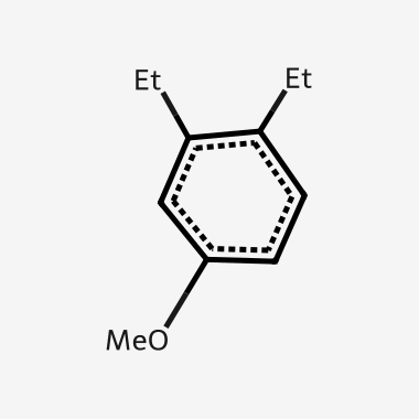 CCc1ccc(OC)cc1CC